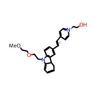 COCCOCCN1C2=CC=CCC2c2cc(/C=C/c3cc[n+](CCO)cc3)ccc21